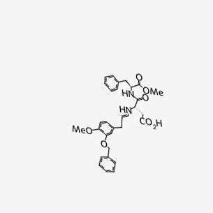 COC(=O)[C@H](Cc1ccccc1)NC(=O)[C@H](CC(=O)O)NC=CCc1ccc(OC)c(OCc2ccccc2)c1